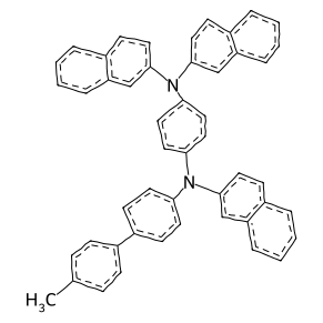 Cc1ccc(-c2ccc(N(c3ccc(N(c4ccc5ccccc5c4)c4ccc5ccccc5c4)cc3)c3ccc4ccccc4c3)cc2)cc1